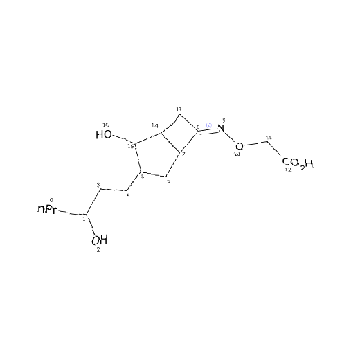 CCCC(O)CCC1CC2/C(=N\OCC(=O)O)CC2C1O